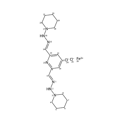 C(=NNN1CCCCC1)c1cccc(C=NNN2CCCCC2)n1.[Cl-].[Cl-].[Fe+2]